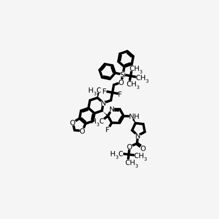 C[C@@H]1Cc2cc3c(cc2[C@@H](C2(C)N=CC(N[C@H]4CCN(C(=O)OC(C)(C)C)C4)=CC2F)N1CC(F)(F)CO[Si](c1ccccc1)(c1ccccc1)C(C)(C)C)OCO3